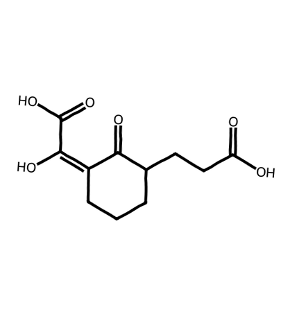 O=C(O)CCC1CCCC(=C(O)C(=O)O)C1=O